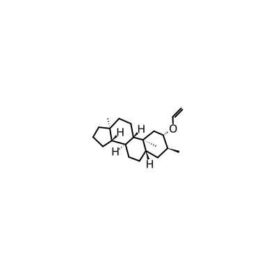 C=CO[C@H]1C[C@@]2(C)[C@@H](CC[C@H]3[C@@H]4CCC[C@@]4(C)CC[C@@H]32)C[C@@H]1C